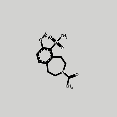 COc1ccc2c(c1S(C)(=O)=O)CCN(C(C)=O)CC2